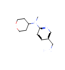 CN(c1ccc(CN)cn1)C1CCOCC1